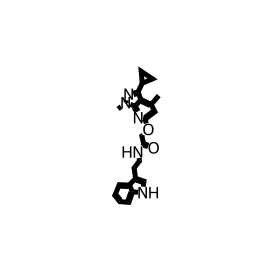 Cc1cc(OCC(=O)NCCc2c[nH]c3ccccc23)nc2c1c(C1CC1)nn2C